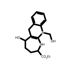 CCOC(=O)C1CCC(O)C2=C(N1)N(CO)c1ccccc1C2